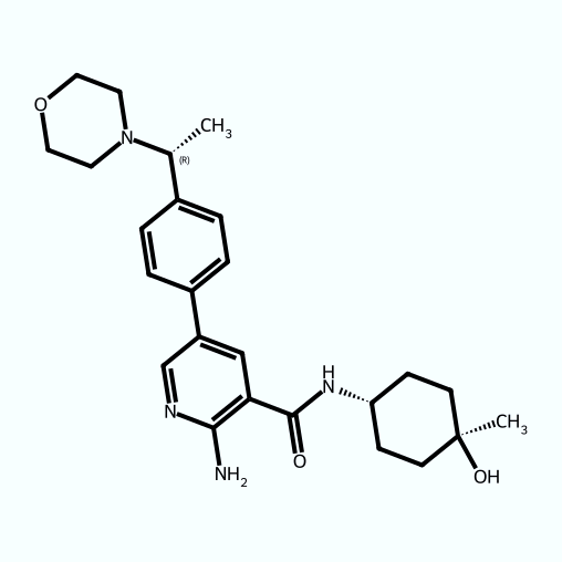 C[C@H](c1ccc(-c2cnc(N)c(C(=O)N[C@H]3CC[C@](C)(O)CC3)c2)cc1)N1CCOCC1